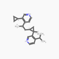 CC(C)c1ccncc1C1(C)CC1CC(C)c1ccncc1C1CC1